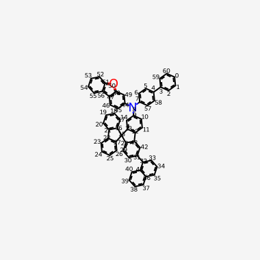 c1ccc(-c2ccc(N(c3ccc4c(c3)C3(c5ccccc5-c5ccccc53)c3ccc(-c5cccc6ccccc56)cc3-4)c3ccc4c(c3)oc3ccccc34)cc2)cc1